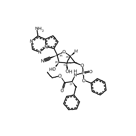 CCOC(=O)[C@H](Cc1ccccc1)NP(=O)(Oc1ccccc1)OC1[C@H]2O[C@@](C#N)(c3ccc4c(N)ncnn34)[C@H](O)[C@@]12O